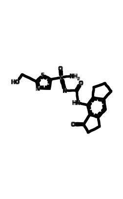 NS(=O)(=NC(=O)Nc1c2c(cc3c1C(=O)CC3)CCC2)c1cnc(CO)s1